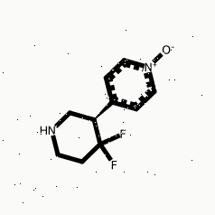 [O-][n+]1ccc([C@@H]2CNCCC2(F)F)cc1